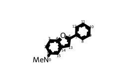 CNc1ccc2oc(-c3ccccc3)cc2c1